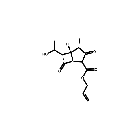 C=CCOC(=O)C1C(=O)[C@H](C)[C@H]2[C@@H]([C@H](C)O)C(=O)N12